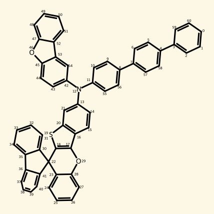 c1ccc(-c2ccc(-c3ccc(N(c4ccc5c6c(sc5c4)C4(c5ccccc5O6)c5ccccc5-c5ccccc54)c4ccc5oc6ccccc6c5c4)cc3)cc2)cc1